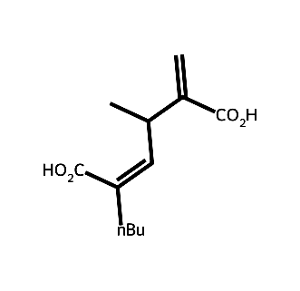 C=C(C(=O)O)C(C)C=C(CCCC)C(=O)O